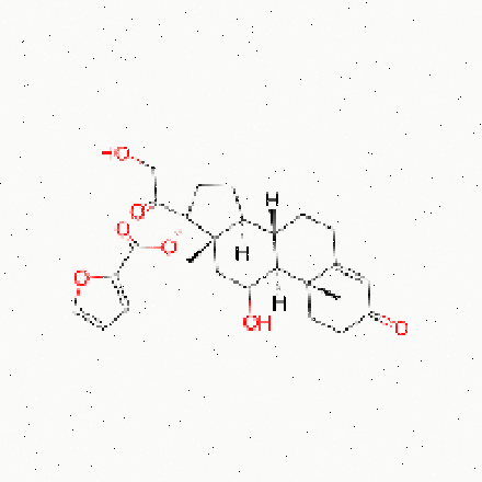 C[C@]12CCC(=O)C=C1CC[C@@H]1[C@@H]2C(O)C[C@@]2(C)[C@H]1CC[C@]2(OC(=O)c1ccco1)C(=O)CO